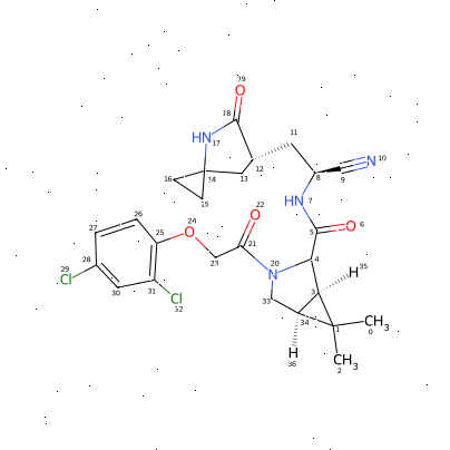 CC1(C)[C@@H]2C(C(=O)N[C@H](C#N)C[C@@H]3CC4(CC4)NC3=O)N(C(=O)COc3ccc(Cl)cc3Cl)C[C@@H]21